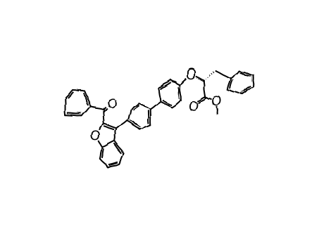 COC(=O)[C@@H](Cc1ccccc1)Oc1ccc(-c2ccc(-c3c(C(=O)c4ccccc4)oc4ccccc34)cc2)cc1